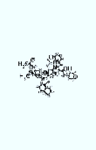 CCCC[C@H](NC(=O)[C@H](Cc1cccc2ccccc12)CS(=O)(=O)CC(COC(C)=O)=NOC)C(=O)N[C@@H](CC1CCCCC1)[C@@H](O)[C@@H](O)CN1CCOCC1